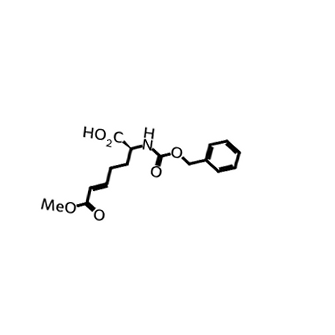 COC(=O)/C=C/CC[C@H](NC(=O)OCc1ccccc1)C(=O)O